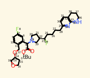 CC(C)(C)OC(=O)C(c1cc(F)ccc1CO[C@H]1CCOC1)N1CC[C@@H](C(F)CCCCc2ccc3c(n2)NCCC3)C1